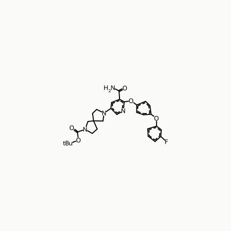 CC(C)(C)OC(=O)N1CCC2(CCN(c3cnc(Oc4ccc(Oc5cccc(F)c5)cc4)c(C(N)=O)c3)C2)C1